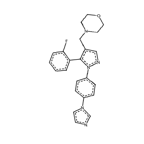 Fc1ccccc1-c1c(CN2CCOCC2)cnn1-c1ccc(-n2ccnc2)cc1